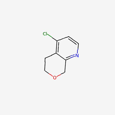 Clc1ccnc2c1CCOC2